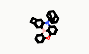 c1ccc2c(c1)Oc1cccc3c1B2c1cc2c(cc1N3C13CC4CC(CC(C4)C1)C3)CC2